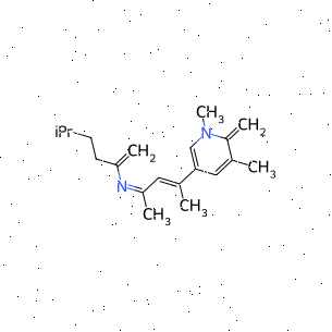 C=C(CCC(C)C)/N=C(C)\C=C(/C)C1=CN(C)C(=C)C(C)=C1